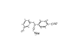 O=C([O-])c1ccc([S+]([O-])Cc2cccc(Cl)c2)cn1.[Na+]